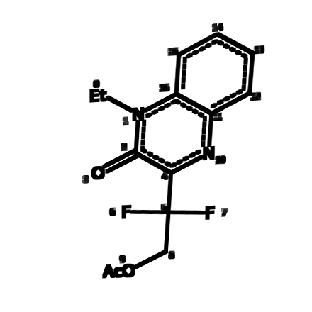 CCn1c(=O)c(C(F)(F)COC(C)=O)nc2ccccc21